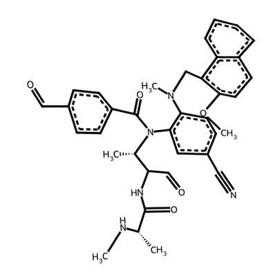 CN[C@@H](C)C(=O)NC(C=O)[C@H](C)N(C(=O)c1ccc(C=O)cc1)c1cc(C#N)ccc1N(C)Cc1c(OC)ccc2ccccc12